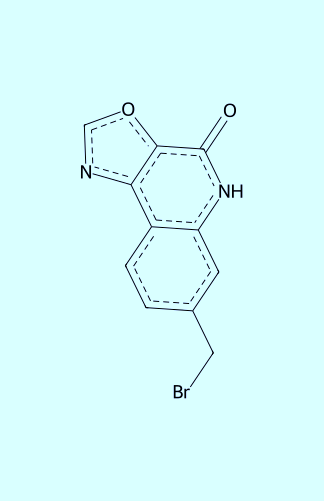 O=c1[nH]c2cc(CBr)ccc2c2ncoc12